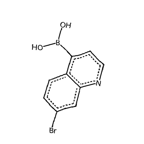 OB(O)c1ccnc2cc(Br)ccc12